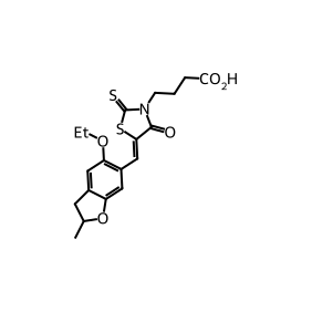 CCOc1cc2c(cc1/C=C1\SC(=S)N(CCCC(=O)O)C1=O)OC(C)C2